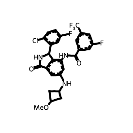 COC1CC(Nc2cc(NC(=O)c3cc(F)cc(C(F)(F)F)c3)c3c(c2)C(=O)NC3c2cc(F)ccc2Cl)C1